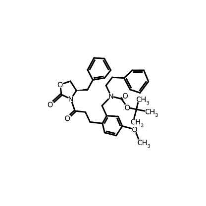 COc1ccc(CCC(=O)N2C(=O)OC[C@H]2Cc2ccccc2)c(CN(CCc2ccccc2)C(=O)OC(C)(C)C)c1